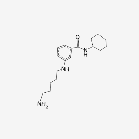 NCCCCCNc1cccc(C(=O)NC2CCCCC2)c1